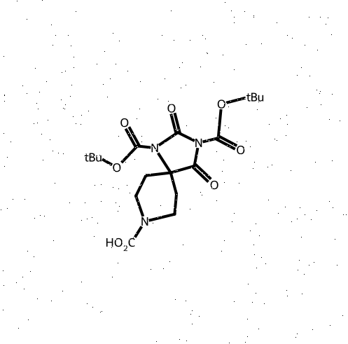 CC(C)(C)OC(=O)N1C(=O)N(C(=O)OC(C)(C)C)C2(CCN(C(=O)O)CC2)C1=O